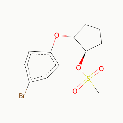 CS(=O)(=O)O[C@@H]1CCC[C@H]1Oc1ccc(Br)cc1